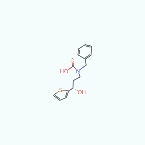 O=C(O)N(CC[C@H](O)c1cccs1)Cc1ccccc1